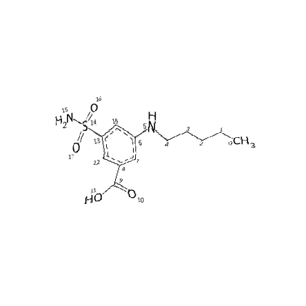 CCCCCNc1cc(C(=O)O)cc(S(N)(=O)=O)c1